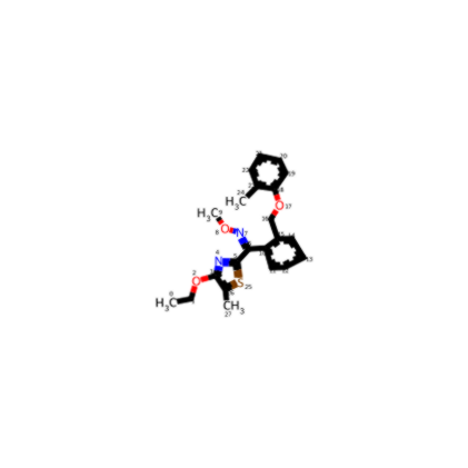 CCOc1nc(C(=NOC)c2ccccc2COc2ccccc2C)sc1C